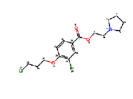 O=C(OCCN1CCCC1)c1ccc(OCCCCl)c(Br)c1